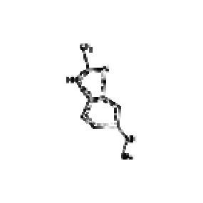 CC(C)(C)Nc1ccc2[nH]c(C(F)(F)F)nc2c1